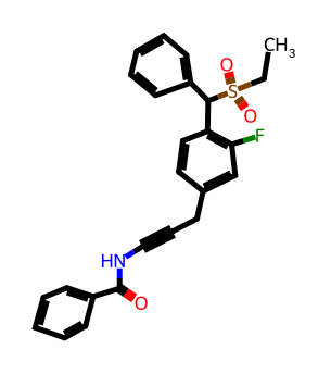 CCS(=O)(=O)C(c1ccccc1)c1ccc(CC#CNC(=O)c2ccccc2)cc1F